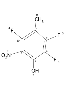 Cc1c(F)c(F)c(O)c([N+](=O)[O-])c1F